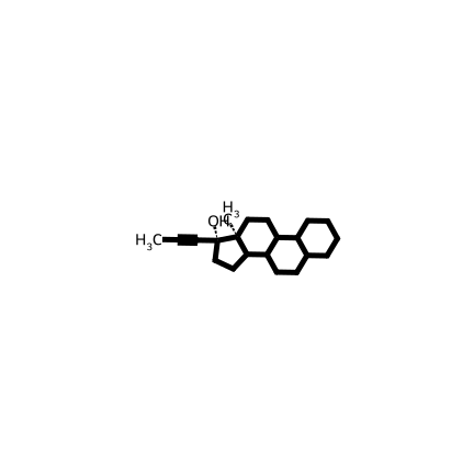 CC#C[C@]1(O)CCC2C3CCC4CCCCC4C3CC[C@@]21C